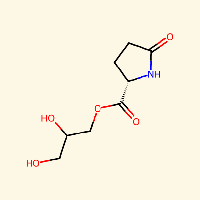 O=C1CC[C@@H](C(=O)OCC(O)CO)N1